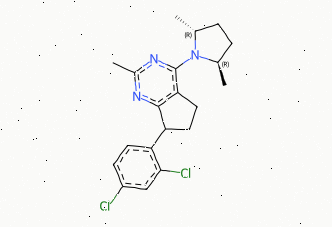 Cc1nc2c(c(N3[C@H](C)CC[C@H]3C)n1)CCC2c1ccc(Cl)cc1Cl